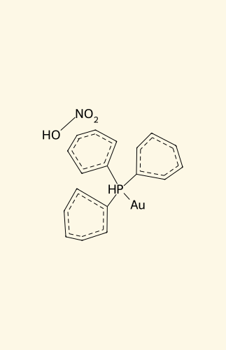 O=[N+]([O-])O.[Au][PH](c1ccccc1)(c1ccccc1)c1ccccc1